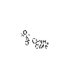 COc1cc(C(=O)N2CCOC(C)(C)C2)ccc1N